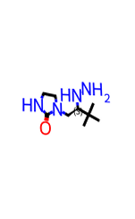 CC(C)(C)[C@@H](CN1CCNC1=O)NN